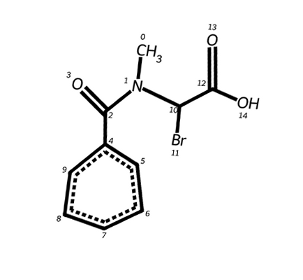 CN(C(=O)c1ccccc1)C(Br)C(=O)O